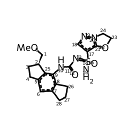 COC[C@@H]1CCc2cc3c(c(NC(=O)N=S(N)(=O)c4cnn5c4OCC5)c21)CCC3